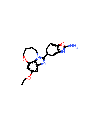 CCOc1cc2c3c(c1)nc(C1C=c4nc(N)oc4=CC1)n3CCCCO2